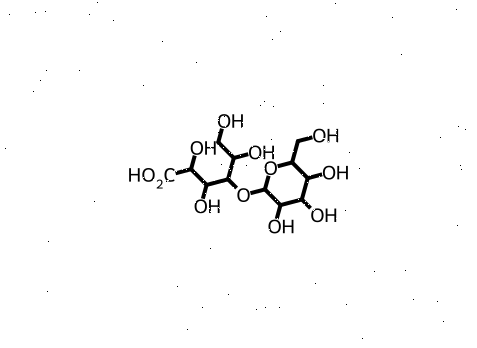 O=C(O)C(O)C(O)C(OC1OC(CO)C(O)C(O)C1O)C(O)CO